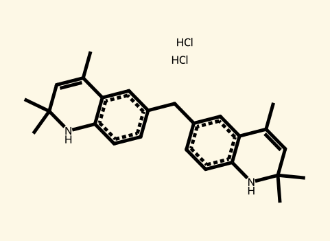 CC1=CC(C)(C)Nc2ccc(Cc3ccc4c(c3)C(C)=CC(C)(C)N4)cc21.Cl.Cl